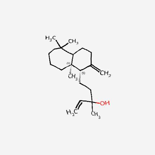 C=CC(C)(O)CC[C@H]1C(=C)CCC2C(C)(C)CCC[C@@]21C